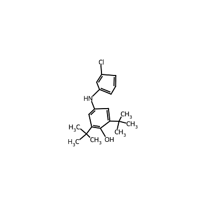 CC(C)(C)c1cc(Nc2cccc(Cl)c2)cc(C(C)(C)C)c1O